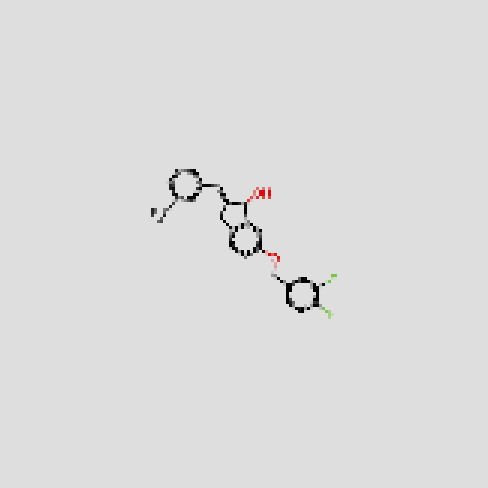 OC1/C(=C/c2cccc(C(F)(F)F)c2)Cc2ccc(OCc3ccc(F)c(F)c3)cc21